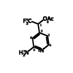 CC(=O)OC(c1ccnc(N)c1)C(F)(F)F